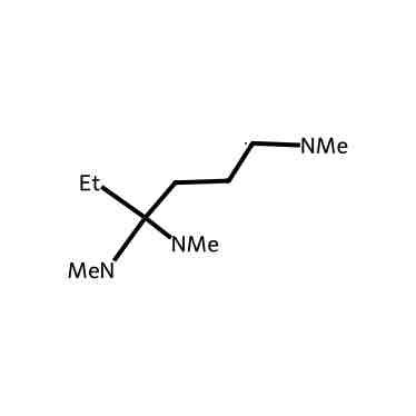 CCC(CC[CH]NC)(NC)NC